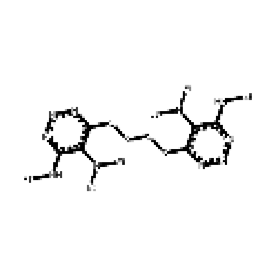 CCNc1nnnc(SSSSc2nnnc(NCC)c2N(CC)CC)c1N(CC)CC